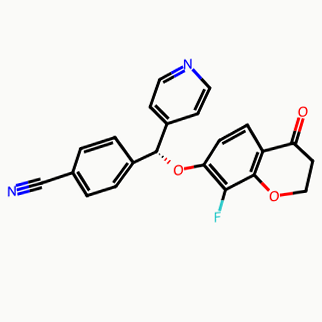 N#Cc1ccc([C@@H](Oc2ccc3c(c2F)OCCC3=O)c2ccncc2)cc1